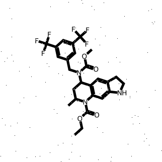 CCOC(=O)N1c2cc3c(cc2C(N(Cc2cc(C(F)(F)F)cc(C(F)(F)F)c2)C(=O)OC)CC1C)CCN3